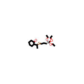 CCO[Si](CCCSC(C)C1CCCCC1=O)(OCC)OCC